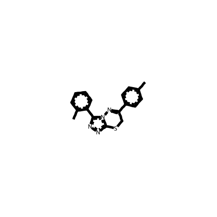 Cc1ccc(C2=Nn3c(nnc3-c3ccccc3C)SC2)cc1